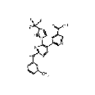 Cc1cccc(Nc2ncc(-c3cncc(C(=O)O)c3)c(N3C=CC(C(F)(F)F)N3)n2)c1